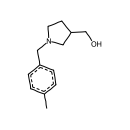 Cc1ccc(CN2CCC(CO)C2)cc1